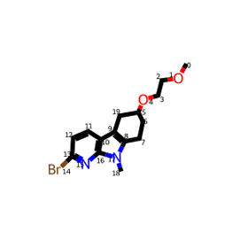 COCCOC1CCc2c(c3ccc(Br)nc3n2C)C1